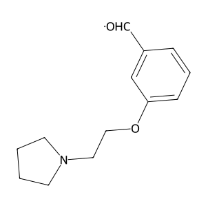 O=[C]c1cccc(OCCN2CCCC2)c1